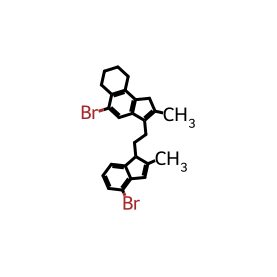 CC1=Cc2c(Br)cccc2C1CCC1=C(C)Cc2c1cc(Br)c1c2CCCC1